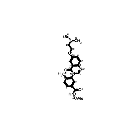 CONC(=O)c1ccc(C)c(-n2cnc3ccc(OCCN(C)C(C)(C)C)cc3c2=O)c1